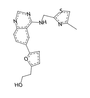 Cc1csc(CNc2ncnc3ccc(-c4ccc(CCO)o4)cc23)n1